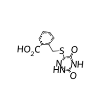 O=C(O)c1ccccc1CSc1n[nH]c(=O)[nH]c1=O